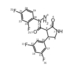 NN(C(=O)C1C(=O)NCC1c1cc(F)cc(F)c1)c1ccc(F)cc1F